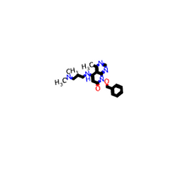 Cc1ncnc2c1c(NCCCN(C)C)cc(=O)n2OCc1ccccc1